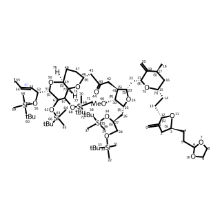 C=C1C[C@H](CCC2OCCO2)O[C@H]1CC[C@H]1C[C@H](C)C(=C)[C@@H](C[C@@H]2O[C@H](C[C@@H](CO[Si](C)(C)C(C)(C)C)O[Si](C)(C)C(C)(C)C)[C@H](OC)[C@H]2CC(=O)C[C@H]2CC[C@@H]3O[C@@H](C(/C=C/I)O[Si](C)(C)C(C)(C)C)C(O[Si](C)(C)C(C)(C)C)C(O[Si](C)(C)C(C)(C)C)[C@H]3O2)O1